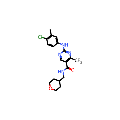 Cc1cc(Nc2ncc(C(=O)NCC3CCOCC3)c(C(F)(F)F)n2)ccc1Cl